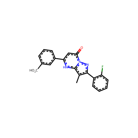 Cc1c(-c2ccccc2F)nn2c(=O)cc(-c3cccc(C(=O)O)c3)[nH]c12